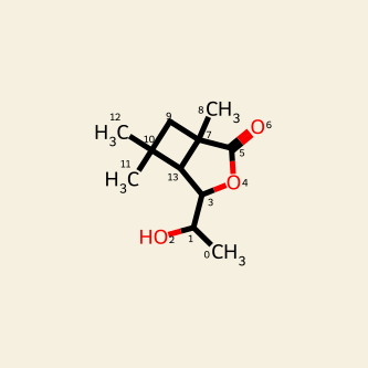 CC(O)C1OC(=O)C2(C)CC(C)(C)C12